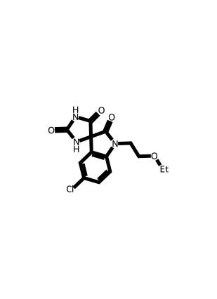 CCOCCN1C(=O)C2(NC(=O)NC2=O)c2cc(Cl)ccc21